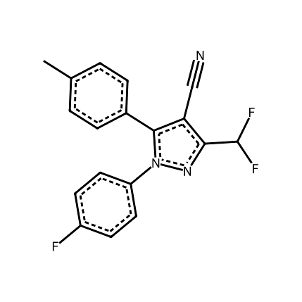 Cc1ccc(-c2c(C#N)c(C(F)F)nn2-c2ccc(F)cc2)cc1